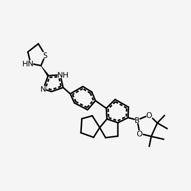 CC1(C)OB(c2ccc(-c3ccc(-c4cnc([C@H]5NCCS5)[nH]4)cc3)c3c2CCC32CCCC2)OC1(C)C